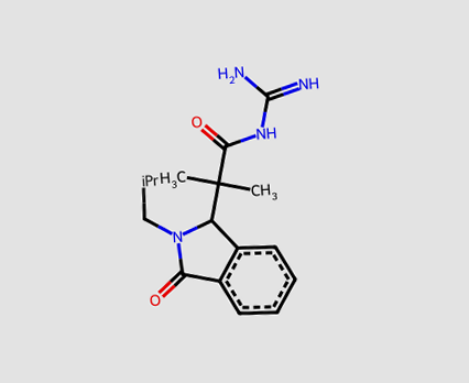 CC(C)CN1C(=O)c2ccccc2C1C(C)(C)C(=O)NC(=N)N